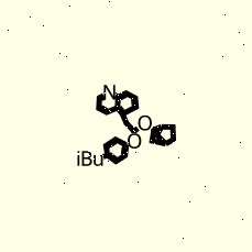 CCC(C)c1ccc(OC(Cc2cccc3ncccc23)OC2CC3CCC2C3)cc1